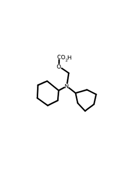 O=C(O)OCN(C1CCCCC1)C1CCCCC1